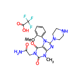 COc1ccccc1-n1c(N2CCNCC2)nc2c1c(=O)n(CC(N)=O)c(=O)n2C.O=C(O)C(F)(F)F